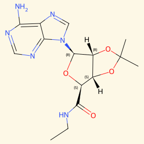 CCNC(=O)[C@H]1O[C@@H](n2cnc3c(N)ncnc32)[C@@H]2OC(C)(C)O[C@@H]21